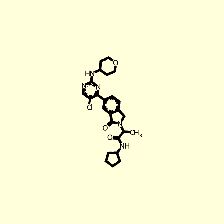 CC(C(=O)NC1CCCC1)N1Cc2ccc(-c3nc(NC4CCOCC4)ncc3Cl)cc2C1=O